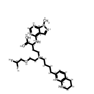 Cn1ncc2c(NC(CCN(CCCCc3ccc4c(n3)NCCC4)CCOCC(F)F)C(=O)O)ncnc21